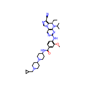 CC[C@@H]1c2c(C#N)ncn2-c2cnc(Nc3ccc(C(=O)NC4CCN(C5CCN(CC6CC6)CC5)CC4)cc3OC)nc2N1C(C)C